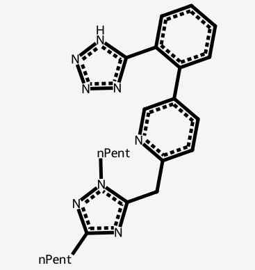 CCCCCc1nc(Cc2ccc(-c3ccccc3-c3nnn[nH]3)cn2)n(CCCCC)n1